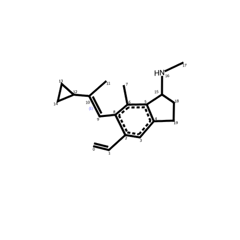 C=Cc1cc2c(c(C)c1/C=C(\C)C1CC1)C(NC)CC2